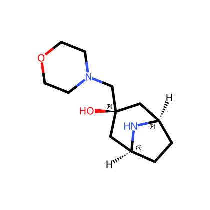 O[C@@]1(CN2CCOCC2)C[C@H]2CC[C@@H](C1)N2